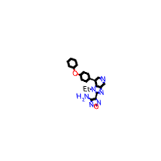 CCn1c(-c2nonc2N)nc2cncc(-c3ccc(Oc4ccccc4)cc3)c21